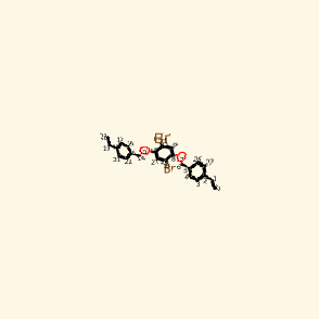 C=Cc1ccc(COc2cc(Br)c(OCc3ccc(C=C)cc3)cc2Br)cc1